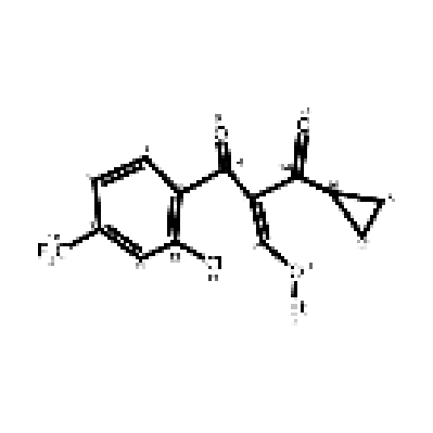 CCOC=C(C(=O)c1ccc(C(F)(F)F)cc1Cl)C(=O)C1CC1